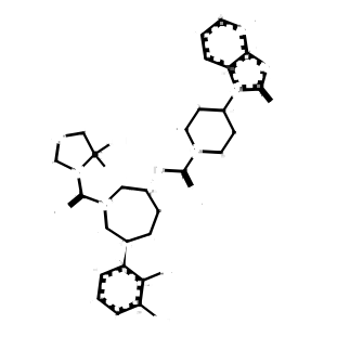 CC1(C)COCN1C(=O)N1C[C@H](NC(=O)N2CCC(n3c(=O)[nH]c4ncccc43)CC2)CC[C@@H](c2cccc(F)c2F)C1